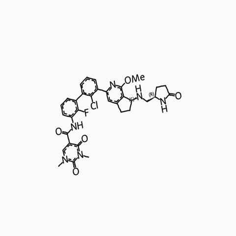 COc1nc(-c2cccc(-c3cccc(NC(=O)c4cn(C)c(=O)n(C)c4=O)c3F)c2Cl)cc2c1[C@@H](NC[C@H]1CCC(=O)N1)CC2